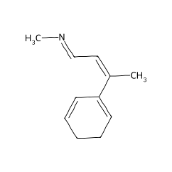 C/N=C/C=C(/C)C1=CCCC=C1